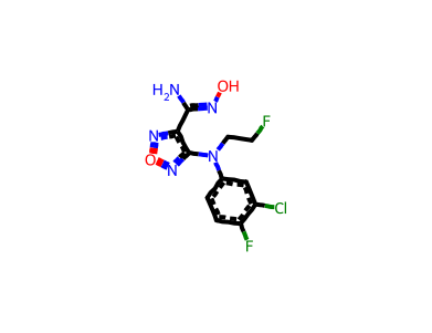 NC(=NO)c1nonc1N(CCF)c1ccc(F)c(Cl)c1